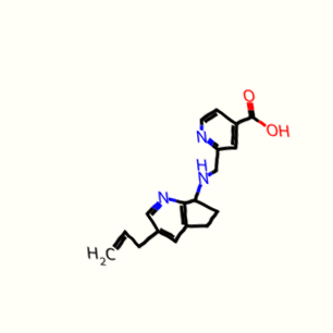 C=CCc1cnc2c(c1)CCC2NCc1cc(C(=O)O)ccn1